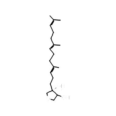 CC(C)=CCC/C(C)=C/CC/C(C)=C/CC[C@@]1(O)COC[C@]1(C)O